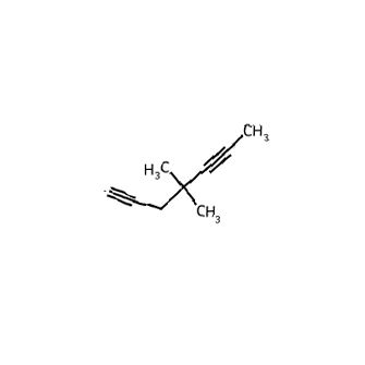 [C]#CCC(C)(C)C#CC